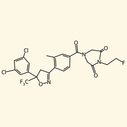 Cc1cc(C(=O)N2CC(=O)N(CCF)C(=O)C2)ccc1C1=NOC(c2cc(Cl)cc(Cl)c2)(C(F)(F)F)C1